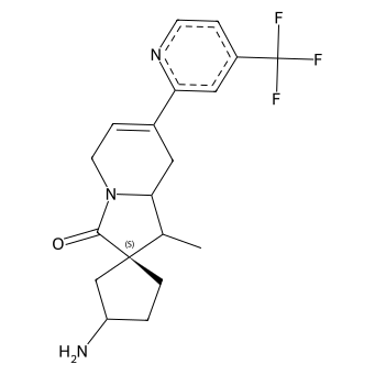 CC1C2CC(c3cc(C(F)(F)F)ccn3)=CCN2C(=O)[C@]12CCC(N)C2